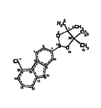 CC1(C)OB(c2ccc3c(c2)sc2cccc(Cl)c23)OC1(C)C